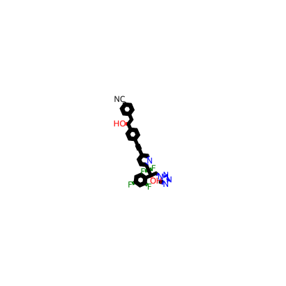 N#Cc1ccc(CC(O)c2ccc(C#Cc3ccc(C(F)(F)C(O)(Cn4cnnn4)c4ccc(F)cc4F)nc3)cc2)cc1